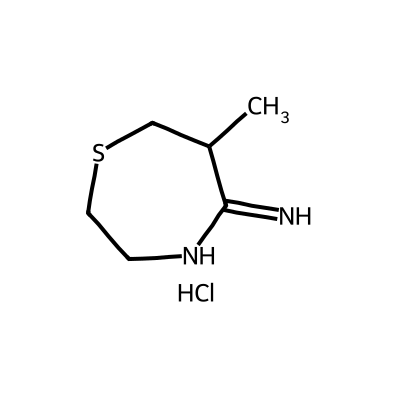 CC1CSCCNC1=N.Cl